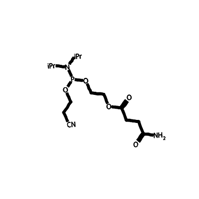 CC(C)N(C(C)C)P(OCCC#N)OCCOC(=O)CCC(N)=O